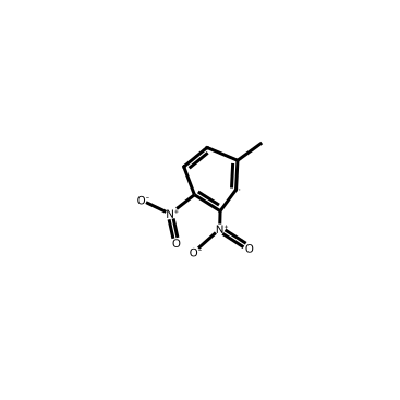 Cc1[c]c([N+](=O)[O-])c([N+](=O)[O-])cc1